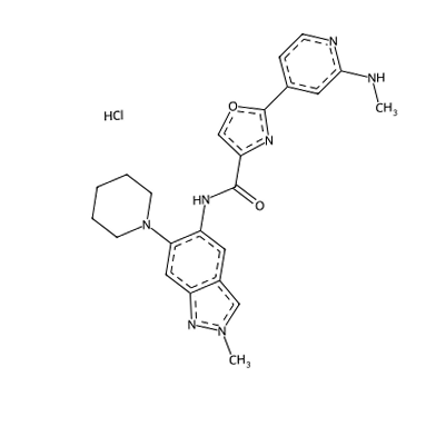 CNc1cc(-c2nc(C(=O)Nc3cc4cn(C)nc4cc3N3CCCCC3)co2)ccn1.Cl